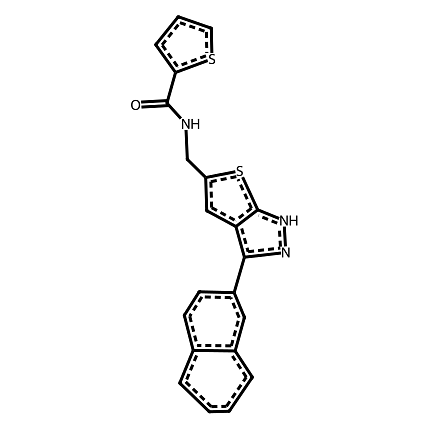 O=C(NCc1cc2c(-c3ccc4ccccc4c3)n[nH]c2s1)c1cccs1